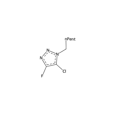 CCCCCCn1nnc(F)c1Cl